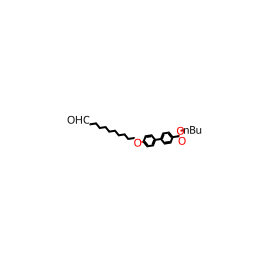 CCCCOC(=O)c1ccc(-c2ccc(OCCCCCCCCCCC=O)cc2)cc1